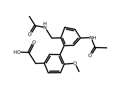 COc1ccc(CC(=O)O)cc1-c1cc(NC(C)=O)ccc1CNC(C)=O